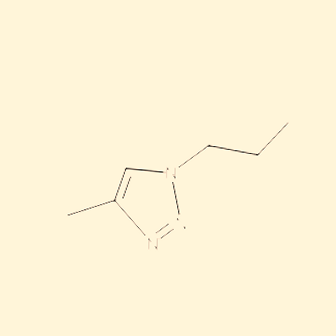 CCCn1cc(C)nn1